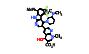 CNc1cc(F)c(F)c2c1[nH]c1ncc(-c3cnc4c(c3)C(O)C(C(=O)O)=CN4C)c(N3CCCC(N(C)C)C3)c12